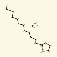 CCCCCCCCCCCCC1=NCCN1.Cl.Cl